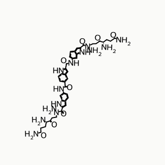 NC(=O)CC[C@H](N)C(=O)CCN(N)C(=O)c1cc2ccc(NC(=O)c3ccc4[nH]c(C(=O)Nc5ccc6cc(C(=O)N(N)CCC(=O)[C@@H](N)CCC(N)=O)[nH]c6c5)cc4c3)cc2[nH]1